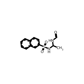 CC(N[C]=O)NS(=O)(=O)c1ccc2ccccc2c1